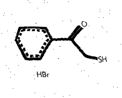 Br.O=C(CS)c1ccccc1